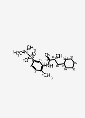 Cc1ccc(S(=O)(=O)N(C)C)cc1NC(=O)[C@H](C)CC1CCCCC1